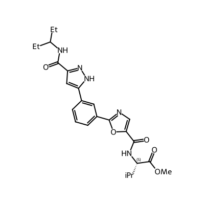 CCC(CC)NC(=O)c1cc(-c2cccc(-c3ncc(C(=O)N[C@H](C(=O)OC)C(C)C)o3)c2)[nH]n1